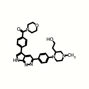 CN1CCN(c2ccc(-c3cc4c(-c5ccc(C(=O)N6CCOCC6)cc5)c[nH]c4nn3)cc2)C(CCO)C1